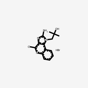 Br.CC(C)(O)Cn1c(N)nc2c(Cl)nc3ccccc3c21